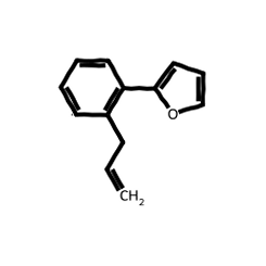 C=CCc1[c]cccc1-c1ccco1